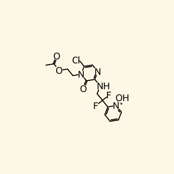 CC(=O)OCCn1c(Cl)cnc(NCC(F)(F)c2cccc[n+]2O)c1=O